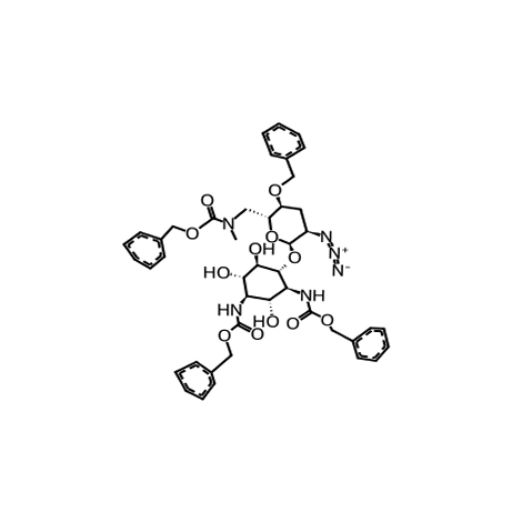 CN(C[C@H]1O[C@H](O[C@H]2[C@H](O)[C@@H](O)[C@H](NC(=O)OCc3ccccc3)[C@@H](O)[C@@H]2NC(=O)OCc2ccccc2)[C@H](N=[N+]=[N-])C[C@@H]1OCc1ccccc1)C(=O)OCc1ccccc1